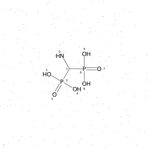 [NH]C(P(=O)(O)O)P(=O)(O)O